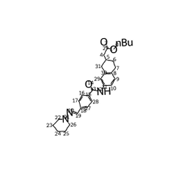 CCCCOC(=O)CC1CCc2ccc(NC(=O)c3ccc(C=NN4CCCCC4)cc3)cc2C1